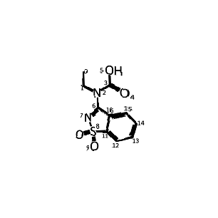 CCN(C(=O)O)C1=NS(=O)(=O)c2ccccc21